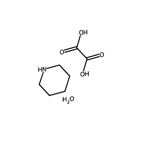 C1CCNCC1.O.O=C(O)C(=O)O